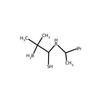 BC(C)(C)C(S)BC(C)C(C)C